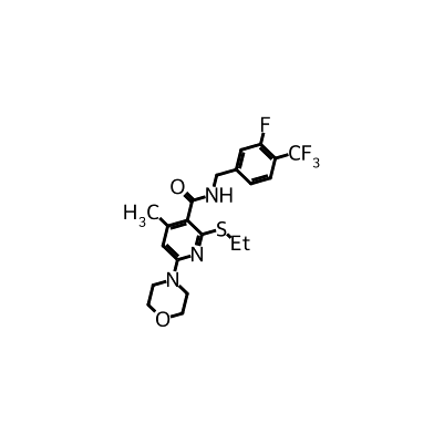 CCSc1nc(N2CCOCC2)cc(C)c1C(=O)NCc1ccc(C(F)(F)F)c(F)c1